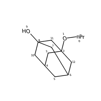 CCCOC12CC3CC(CC(O)(C3)C1)C2